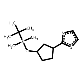 CC(C)(C)[Si](C)(C)OC1CCC(c2nccs2)C1